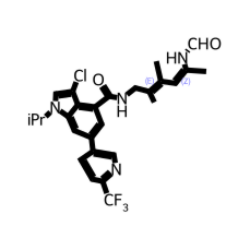 C/C(=C/C(C)=C(\C)CNC(=O)c1cc(-c2ccc(C(F)(F)F)nc2)cc2c1c(Cl)cn2C(C)C)NC=O